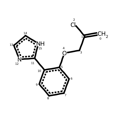 C=C(Cl)COc1ccccc1-c1ncc[nH]1